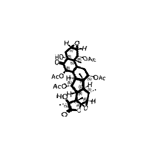 CC(=O)O[C@H]1[C@@H]2[C@H]([C@H](C)[C@H]3O[C@]34OC(=O)[C@@](C)(O)[C@]24C)[C@@]2(C)[C@@H](OC(C)=O)CC3C([C@H]12)[C@@H](OC(C)=O)C(=O)[C@@]1(O)C[C@@H]2O[C@@H]2[C@H](OC(C)=O)[C@]31C